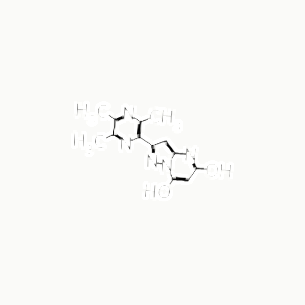 Cc1nc(C)c(-c2cc3nc(O)cc(O)n3n2)nc1C